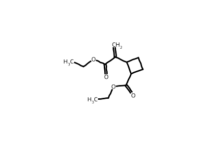 C=C(C(=O)OCC)C1CCC1C(=O)OCC